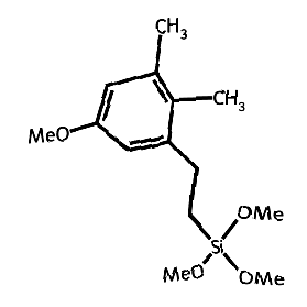 COc1cc(C)c(C)c(CC[Si](OC)(OC)OC)c1